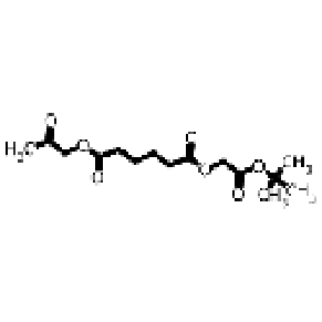 CC(=O)COC(=O)CCCCC(=O)OCC(=O)OC(C)(C)C